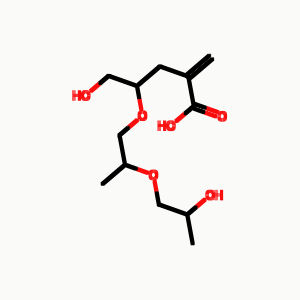 C=C(CC(CO)OCC(C)OCC(C)O)C(=O)O